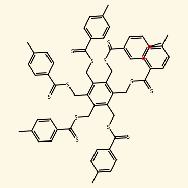 Cc1ccc(C(=S)SCc2c(CSC(=S)c3ccc(C)cc3)c(CSC(=S)c3ccc(C)cc3)c(CSC(=S)c3ccc(C)cc3)c(CSC(=S)c3ccc(C)cc3)c2CSC(=S)c2ccc(C)cc2)cc1